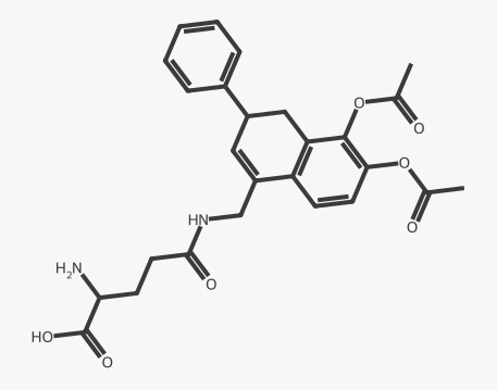 CC(=O)Oc1ccc2c(c1OC(C)=O)CC(c1ccccc1)C=C2CNC(=O)CCC(N)C(=O)O